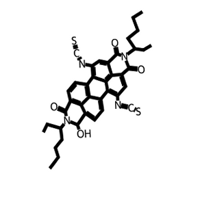 CCCCC(CC)N1C(=O)c2cc(N=C=S)c3c4ccc5c6c(ccc(c7c(N=C=S)cc(c2c37)C1=O)c64)C(O)N(C(CC)CCCC)C5=O